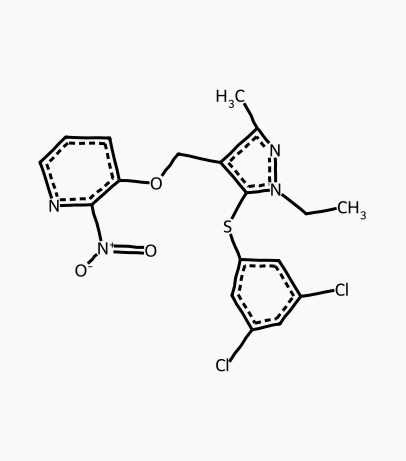 CCn1nc(C)c(COc2cccnc2[N+](=O)[O-])c1Sc1cc(Cl)cc(Cl)c1